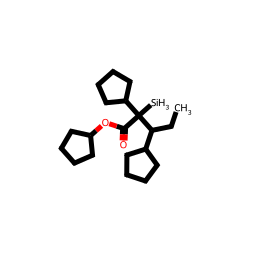 CCC(C1CCCC1)C([SiH3])(C(=O)OC1CCCC1)C1CCCC1